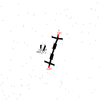 CC(C)(O)C#CC#CC(C)(C)O.CS(=O)(=O)O.CS(=O)(=O)O